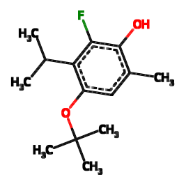 Cc1cc(OC(C)(C)C)c(C(C)C)c(F)c1O